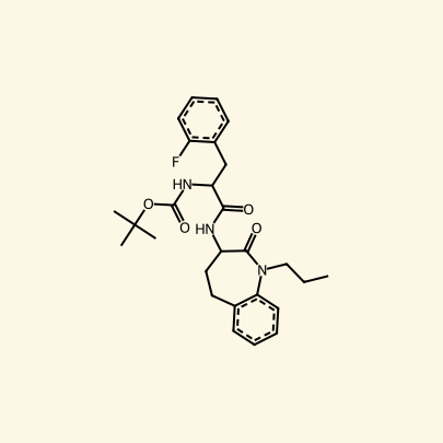 CCCN1C(=O)C(NC(=O)C(Cc2ccccc2F)NC(=O)OC(C)(C)C)CCc2ccccc21